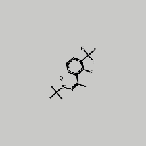 C/C(=N/[S@@+]([O-])C(C)(C)C)c1cccc(C(F)(F)F)c1F